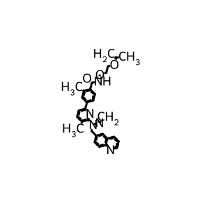 C=NN(Cc1ccc2ncccc2c1)c1nc(-c2ccc(C(=O)NOCCOC(=C)C)c(C)c2)ccc1C